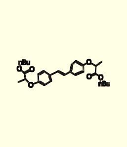 CCCCOC(=O)C(C)Oc1ccc(/C=C/c2ccc(OC(C)C(=O)OCCCC)cc2)cc1